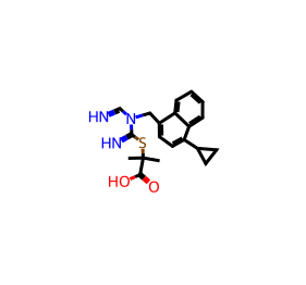 CC(C)(SC(=N)N(C=N)Cc1ccc(C2CC2)c2ccccc12)C(=O)O